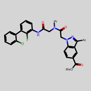 COC(=O)c1ccc2c(c1)c(C(C)=O)nn2CC(=O)N(CC(=O)Nc1cccc(-c2ccccc2Cl)c1F)C(C)C